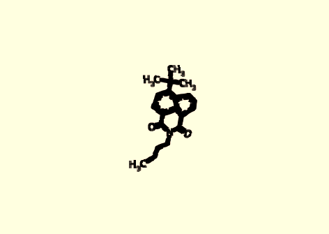 CCCCN1C(=O)c2cccc3c(C(C)(C)C)ccc(c23)C1=O